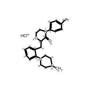 CC(C)c1ccc(N2CCOC(Cc3ccccc3N3CCN(C)CC3)C2=O)cc1.Cl